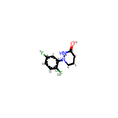 O=C1CCCN(c2cc(F)ccc2F)N1